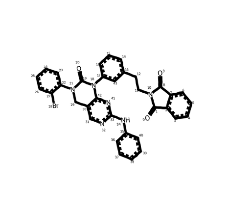 O=C1c2ccccc2C(=O)N1CCc1cccc(N2C(=O)N(c3ccccc3Br)Cc3cnc(Nc4ccccc4)nc32)c1